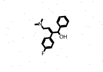 CN(C)C/C=C(\c1ccc(F)cc1)C(O)c1ccccc1